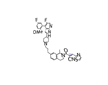 COc1ccc(F)cc1-c1c(F)cnc2[nH]c(C3CCN(CCCc4ccc5c(c4)C(C)N(C(=O)/C(C#N)=C/c4nccs4)CC5)CC3)cc12